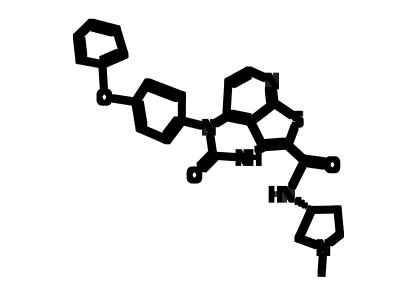 CN1CC[C@@H](NC(=O)c2sc3nccc4c3c2NC(=O)N4c2ccc(Oc3ccccc3)cc2)C1